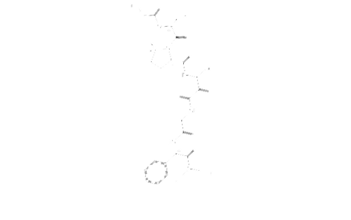 CCCC(NC(=O)[C@@H]1CC[C@@H](C)N1C(=O)[C@@H](NC(=O)OC(C)C)C(C)(C)C)C(=O)C(=O)NCC(=O)N[C@H](C(=O)N(C)C)c1ccccc1